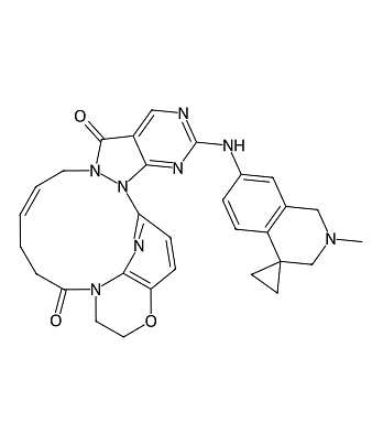 CN1Cc2cc(Nc3ncc4c(=O)n5n(c4n3)-c3ccc4c(n3)N(CCO4)C(=O)CC/C=C\C5)ccc2C2(CC2)C1